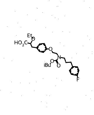 CCOC(Cc1ccc(OCCN(CCCc2ccc(F)cc2)C(=O)OC(C)CC)cc1)C(=O)O